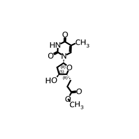 COC(=O)CC[C@H]1O[C@@H](n2cc(C)c(=O)[nH]c2=O)C[C@@H]1O